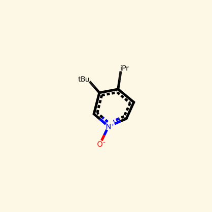 CC(C)c1cc[n+]([O-])cc1C(C)(C)C